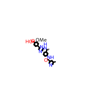 COc1cc(-c2cncc(N[C@@H](C)c3cccc(NC(=O)c4cncc(C)c4)c3)n2)ccc1OO